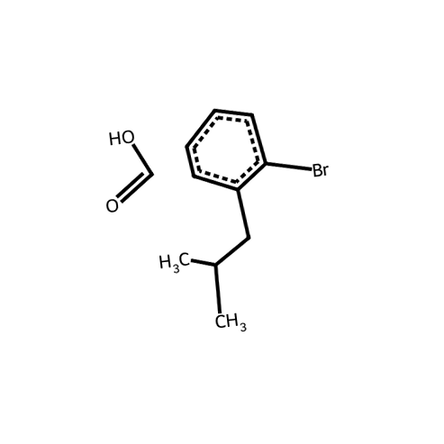 CC(C)Cc1ccccc1Br.O=CO